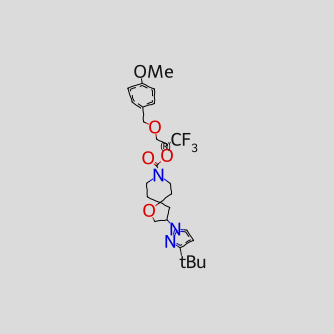 COc1ccc(COC[C@@H](OC(=O)N2CCC3(CC2)CC(n2ccc(C(C)(C)C)n2)CO3)C(F)(F)F)cc1